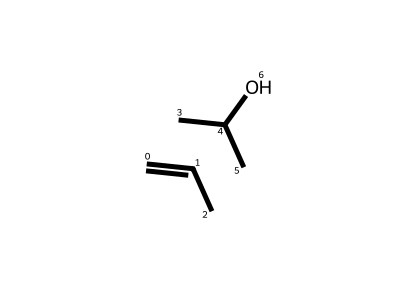 C=CC.CC(C)O